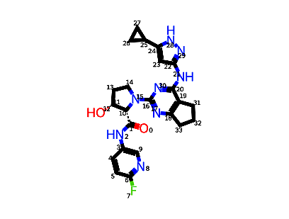 O=C(Nc1ccc(F)nc1)[C@@H]1[C@H](O)CCN1c1nc2c(c(Nc3cc(C4CC4)[nH]n3)n1)CCC2